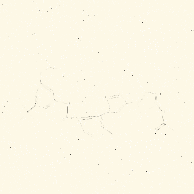 CC(=O)Nc1ncc(-c2cn(-c3cc(C(=O)Nc4cc(CN(C)C)cc(C(F)(F)F)c4)ccc3C)nn2)s1